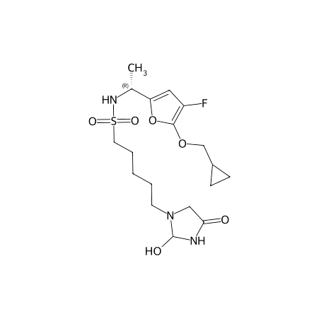 C[C@@H](NS(=O)(=O)CCCCCN1CC(=O)NC1O)c1cc(F)c(OCC2CC2)o1